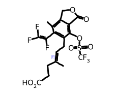 C/C(=C\Cc1c(OS(=O)(=O)C(F)(F)F)c2c(c(C)c1C(F)=C(F)F)COC2=O)CCC(=O)O